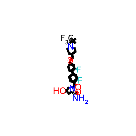 CC(C)(CN1CCC(COc2ccc(-c3ccc(C(=O)N4C[C@H](O)C[C@H]4C(N)=O)c(F)c3)c(F)c2)CC1)C(F)(F)F